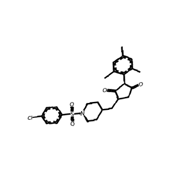 Cc1cc(C)c(C2C(=O)CC(CC3CCN(S(=O)(=O)c4ccc(Cl)cc4)CC3)C2=O)c(C)c1